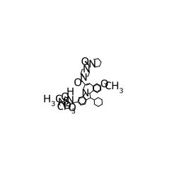 COc1ccc2c(c1)C=C(C(=O)N1CCN(C(=O)N3CCCCC3)CC1)CN1c3cc(C(=O)NS(=O)(=O)N(C)C)ccc3C(C3CCCCC3)C21